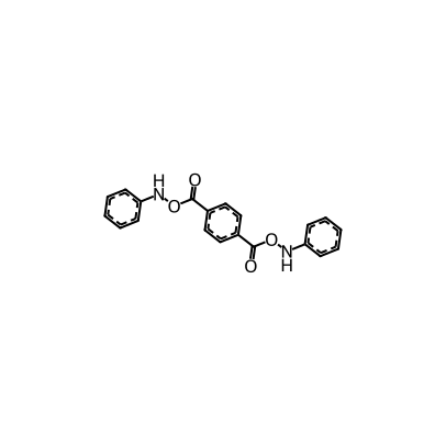 O=C(ONc1ccccc1)c1ccc(C(=O)ONc2ccccc2)cc1